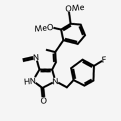 C=Nc1[nH]c(=O)n(Cc2ccc(F)cc2)c1/C=C(\C)c1cccc(OC)c1OC